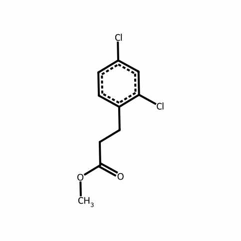 COC(=O)CCc1ccc(Cl)cc1Cl